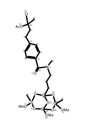 CO[Si]1(C)O[Si]2(CCCN(C)C(=O)c3ccc(CCC(C)(Cl)OC(C)=O)cc3)O[Si](C)(OC)O[Si](OC)(O1)O2